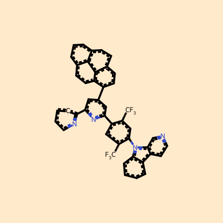 FC(F)(F)c1cc(-n2c3ccccc3c3ccncc32)c(C(F)(F)F)cc1-c1cc(-c2ccc3ccc4cccc5ccc2c3c45)cc(-c2ccccn2)n1